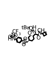 CN(C(=O)[C@@H](NC(=O)OC(C)(C)C)[C@H]1CC[C@H](CS(=O)(=O)c2ccc(NS(=O)(=O)CC(F)(F)F)cc2)CC1)C1CCC1